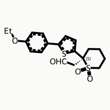 CCOc1ccc(-c2ccc([C@@]3(CC=O)CCCCS3(=O)=O)s2)cc1